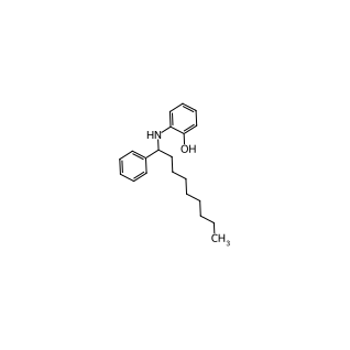 CCCCCCCCC(Nc1ccccc1O)c1ccccc1